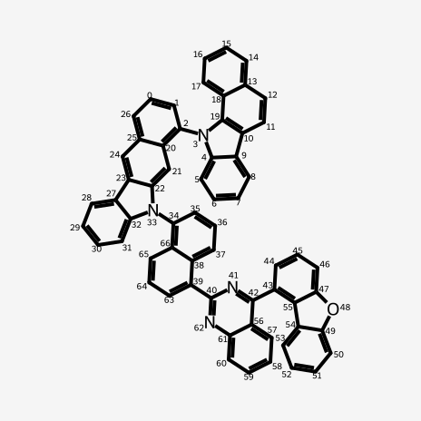 c1cc(-n2c3ccccc3c3ccc4ccccc4c32)c2cc3c(cc2c1)c1ccccc1n3-c1cccc2c(-c3nc(-c4cccc5oc6ccccc6c45)c4ccccc4n3)cccc12